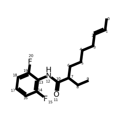 C/C=C/CCCCC(CC)C(=O)Nc1c(F)cccc1F